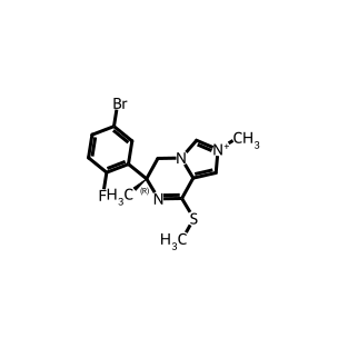 CSC1=N[C@](C)(c2cc(Br)ccc2F)Cn2c[n+](C)cc21